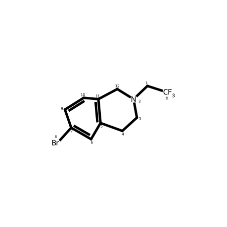 FC(F)(F)CN1CCc2cc(Br)ccc2C1